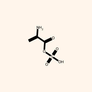 C=C(N)C(=O)OS(=O)(=O)O